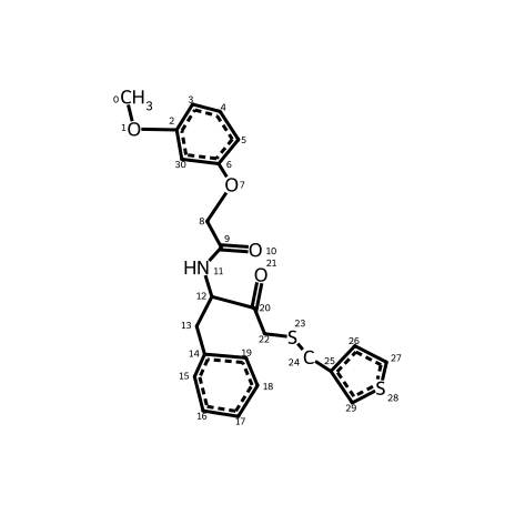 COc1cccc(OCC(=O)NC(Cc2ccccc2)C(=O)CSCc2ccsc2)c1